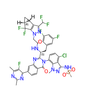 Cc1nc(C)c(F)c(-c2ccc3c(=O)n(-c4ccc(Cl)c5c(NS(C)(=O)=O)nn(C)c45)c([C@H](Cc4cc(F)cc(F)c4)NC(=O)Cn4nc(C(F)F)c5c4C(F)(F)[C@@H]4C[C@H]54)nc3c2)n1